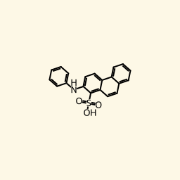 O=S(=O)(O)c1c(Nc2ccccc2)ccc2c1ccc1ccccc12